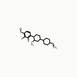 C=NC1CCC(C2CCC(c3ccc(OCC)c(F)c3F)C(C)C2)CC1